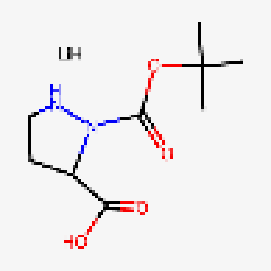 CC(C)(C)OC(=O)N1NCCC1C(=O)O.[LiH]